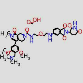 COc1cc(-c2cn(C)c(=O)c3c2CCN(C(=O)NCCOCCNc2ccc4c(c2)C(=O)N(C2CCC(=O)NC2=O)C4=O)C3)cc(OC)c1CN(C)C.O=CO